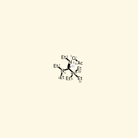 CC(=O)[O-].CC/N=C(\N(CC)CC)[N+](CC)(CC)CC